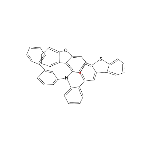 c1ccc(-c2cccc(N(c3ccccc3-c3ccc4sc5ccccc5c4c3)c3cccc4oc5ccccc5c34)c2)cc1